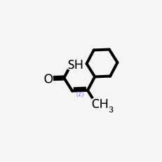 C/C(=C/C(=O)S)C1CCCCC1